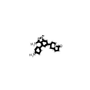 Cn1nc(N)c2c(-c3ccc(N)cc3)cc(C3CCN4C(=O)CCC4C3)cc21